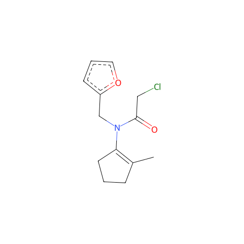 CC1=C(N(Cc2ccco2)C(=O)CCl)CCC1